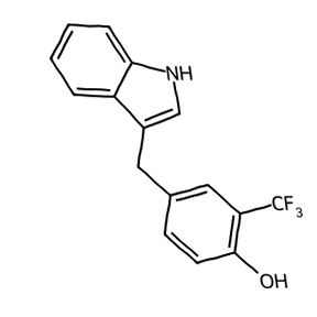 Oc1ccc(Cc2c[nH]c3ccccc23)cc1C(F)(F)F